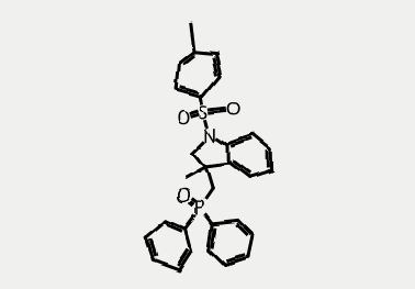 Cc1ccc(S(=O)(=O)N2CC(C)(CP(=O)(c3ccccc3)c3ccccc3)c3ccccc32)cc1